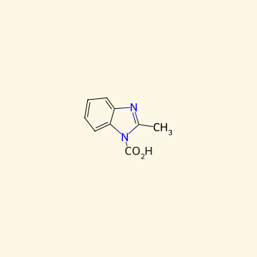 Cc1nc2ccccc2n1C(=O)O